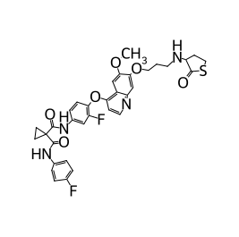 COc1cc2c(Oc3ccc(NC(=O)C4(C(=O)Nc5ccc(F)cc5)CC4)cc3F)ccnc2cc1OCCCNC1CCSC1=O